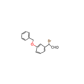 O=CC(Br)c1cccc(OCc2ccccc2)c1